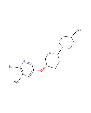 CCCC[C@H]1CC[C@H]([C@H]2CC[C@H](Oc3cnc(CC)c(C)c3)CC2)CC1